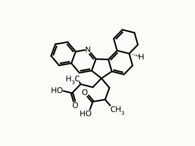 CC(CC1(CC(C)C(=O)O)C2=CC[C@@H]3CCC=CC3=C2c2nc3ccccc3cc21)C(=O)O